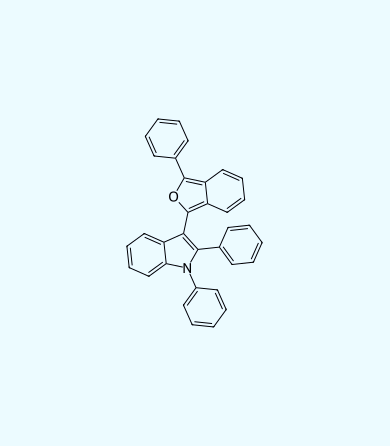 c1ccc(-c2oc(-c3c(-c4ccccc4)n(-c4ccccc4)c4ccccc34)c3ccccc23)cc1